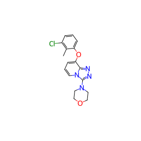 Cc1c(Cl)cccc1Oc1cccn2c(N3CCOCC3)nnc12